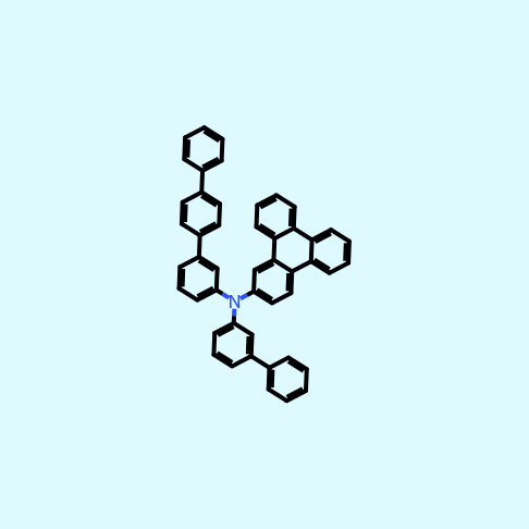 c1ccc(-c2ccc(-c3cccc(N(c4cccc(-c5ccccc5)c4)c4ccc5c6ccccc6c6ccccc6c5c4)c3)cc2)cc1